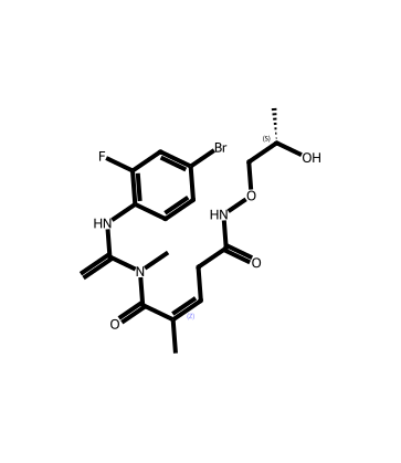 C=C(Nc1ccc(Br)cc1F)N(C)C(=O)/C(C)=C\CC(=O)NOC[C@H](C)O